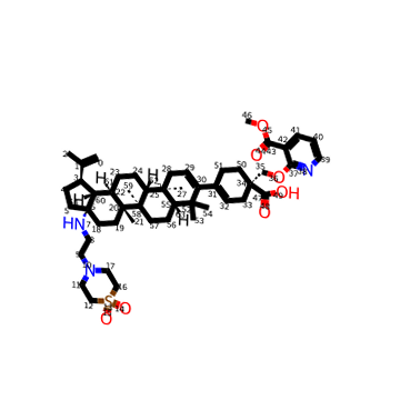 C=C(C)[C@@H]1CC[C@]2(NCCN3CCS(=O)(=O)CC3)CC[C@]3(C)[C@H](CC[C@@H]4[C@@]5(C)CC=C(C6=CC[C@](COc7ncccc7C(=O)OC)(C(=O)O)CC6)C(C)(C)[C@@H]5CC[C@]43C)[C@@H]12